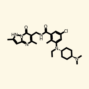 CCN(c1cc(Cl)cc(C(=O)NCc2c(C)nc3cc(C)[nH]n3c2=O)c1C)[C@H]1CC[C@H](N(C)C)CC1